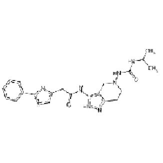 CC(C)NC(=O)NN1CCc2n[nH]c(NC(=O)Cc3csc(-c4ccccc4)n3)c2C1